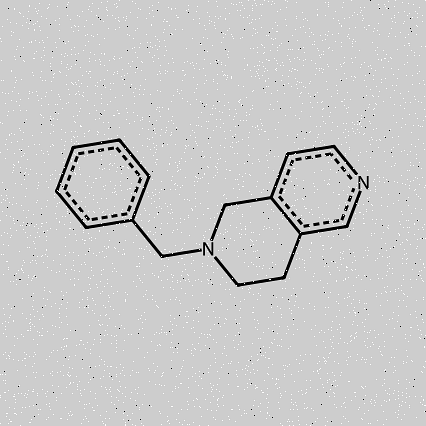 c1ccc(CN2CCc3cnccc3C2)cc1